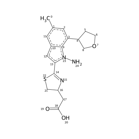 Cc1cc(C2CCOC2)c2c(c1)cc(C1=NC(CC(=O)O)CS1)n2N